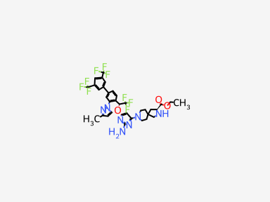 CCOC(=O)[C@@H]1CC2(CCN(c3cc(O[C@H](c4ccc(-c5cc(C(F)(F)F)cc(C(F)(F)F)c5)cc4-n4ccc(C)n4)C(F)(F)F)nc(N)n3)CC2)CN1